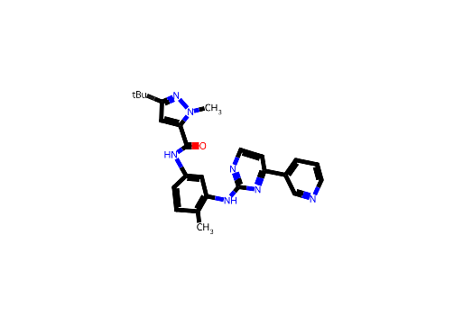 Cc1ccc(NC(=O)c2cc(C(C)(C)C)nn2C)cc1Nc1nccc(-c2cccnc2)n1